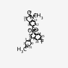 CN1CC=C(c2cn(S(=O)(=O)c3ccc4c(c3)CCC(=O)N4C)c3ccc(F)cc23)CC1